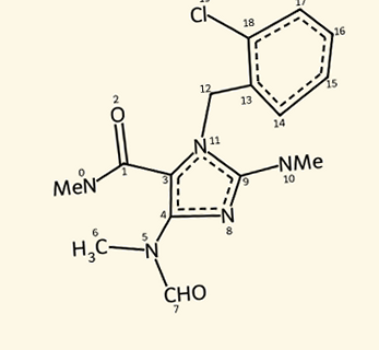 CNC(=O)c1c(N(C)C=O)nc(NC)n1Cc1ccccc1Cl